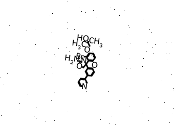 CC(C)(O)COc1ccc2c(c1Br)C1(COC(N)=N1)c1cc(-c3cccnc3)ccc1O2